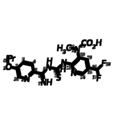 CC(C)Oc1ccc(C(=N)NC(=S)Nc2ncc(C(F)F)cc2N(C)C(=O)O)nc1